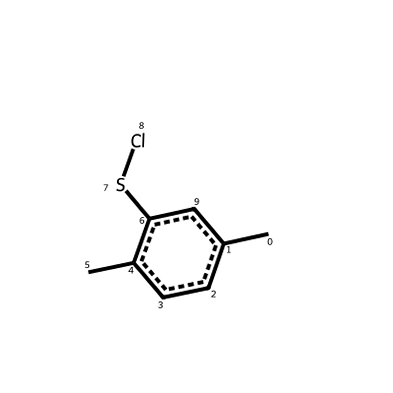 Cc1ccc(C)c(SCl)c1